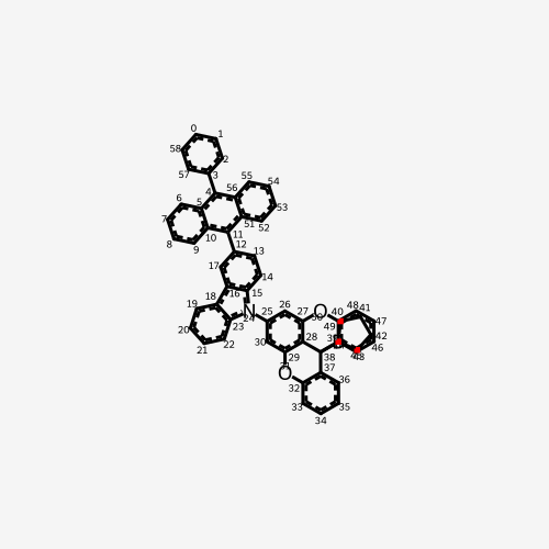 c1ccc(-c2c3ccccc3c(-c3ccc4c(c3)c3ccccc3n4-c3cc4c5c(c3)Oc3ccccc3C5(B3CCCC3)c3ccccc3O4)c3ccccc23)cc1